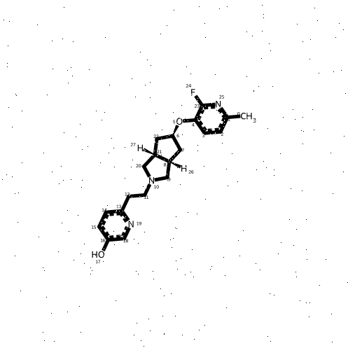 Cc1ccc(O[C@H]2C[C@@H]3CN(CCc4ccc(O)cn4)C[C@@H]3C2)c(F)n1